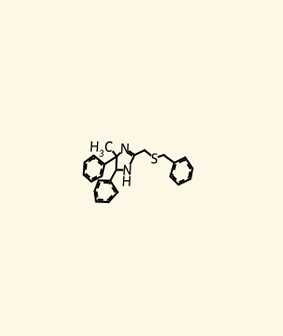 CC1(c2ccccc2)N=C(CSCc2ccccc2)NC1c1ccccc1